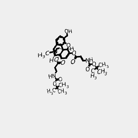 CN1CC[C@]23c4c5ccc(CO)c4O[C@H]2C(OC(=O)CCNC(=O)OC(C)(C)C)=CC[C@@]3(OC(=O)CCNC(=O)OC(C)(C)C)[C@H]1C5